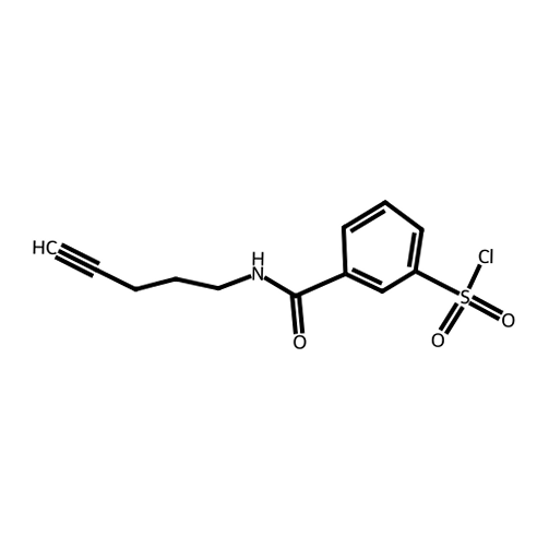 C#CCCCNC(=O)c1cccc(S(=O)(=O)Cl)c1